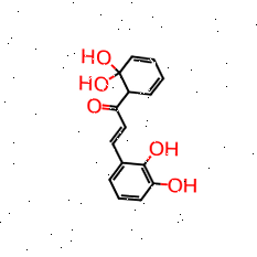 O=C(C=Cc1cccc(O)c1O)C1C=CC=CC1(O)O